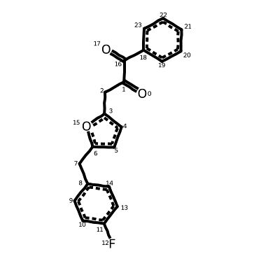 O=C(Cc1ccc(Cc2ccc(F)cc2)o1)C(=O)c1ccccc1